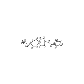 CC(=O)SC1CCC2(CCC(CCc3ccoc3)CC2)CC1